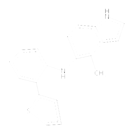 Cc1c(Nc2[c]cccc2-c2cccs2)ccc2[nH]ccc12